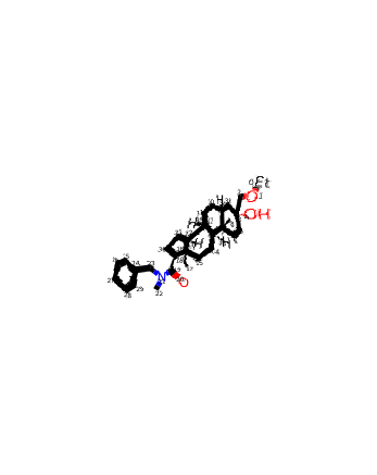 CCOC[C@@]1(O)CC[C@@]2(C)[C@H](CC[C@@H]3[C@@H]2CC[C@]2(C)[C@@H](C(=O)N(C)Cc4ccccc4)CC[C@@H]32)C1